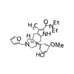 CCN(CC)C(=O)c1[nH]c2c(c1C)C[C@@H]1CN(Cc3ccco3)CC[C@@]1(c1cccc(OC)c1)C2.Cl